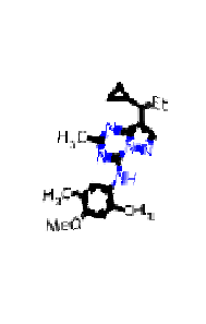 CCC(c1cnn2c(Nc3cc(C)c(OC)cc3C)nc(C)nc12)C1CC1